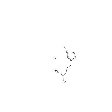 CC(=O)C(S)CCC[n+]1ccn(C)c1.[Br-]